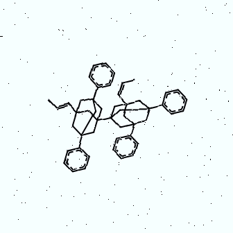 CC=CC12CC3(c4ccccc4)CC(c4ccccc4)(C1)CC(C14CC5(C=CC)CC(c6ccccc6)(CC(c6ccccc6)(C5)C1)C4)(C2)C3